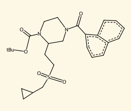 CC(C)(C)OC(=O)N1CCN(C(=O)c2cccc3ccccc23)CC1CCS(=O)(=O)CC1CC1